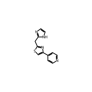 c1cc(-c2csc(Cc3ncc[nH]3)n2)ccn1